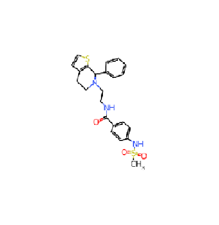 CS(=O)(=O)Nc1ccc(C(=O)NCCN2CCc3ccsc3C2c2ccccc2)cc1